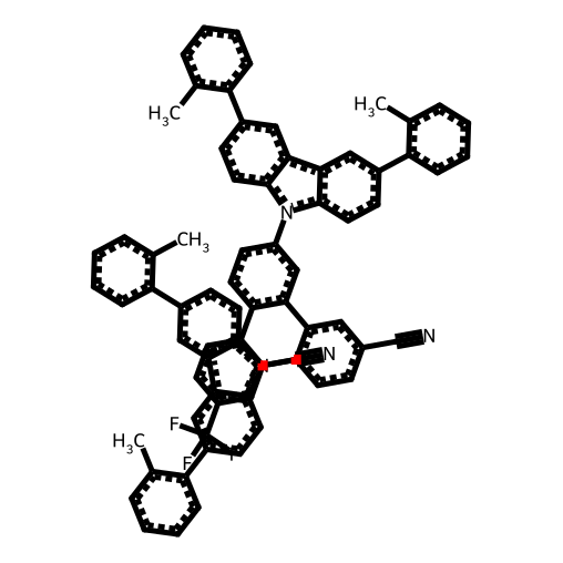 Cc1ccccc1-c1ccc2c(c1)c1cc(-c3ccccc3C)ccc1n2-c1ccc(-c2ccc(C(F)(F)F)cc2C#N)c(-c2cc(C#N)ccc2-n2c3ccc(-c4ccccc4C)cc3c3cc(-c4ccccc4C)ccc32)c1